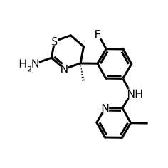 Cc1cccnc1Nc1ccc(F)c([C@]2(C)CCSC(N)=N2)c1